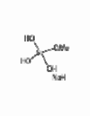 CO[Si](O)(O)O.[NaH]